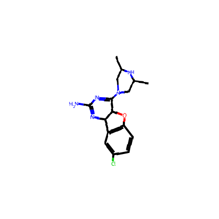 CC1CN(C2=NC(N)=NC3c4cc(Cl)ccc4OC23)CC(C)N1